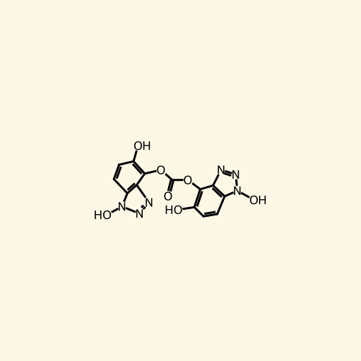 O=C(Oc1c(O)ccc2c1nnn2O)Oc1c(O)ccc2c1nnn2O